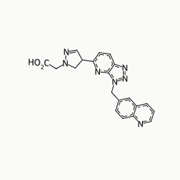 O=C(O)CN1CC(c2ccc3nnn(Cc4ccc5ncccc5c4)c3n2)C=N1